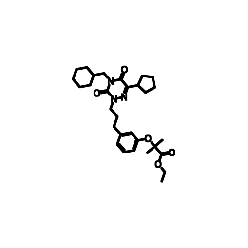 CCOC(=O)C(C)(C)Oc1cccc(CCCn2nc(C3CCCC3)c(=O)n(CC3CCCCC3)c2=O)c1